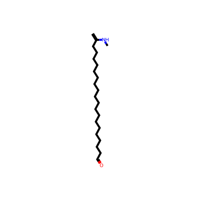 C=C(CCCCCCCCCCCCCCCCCCC=O)NC